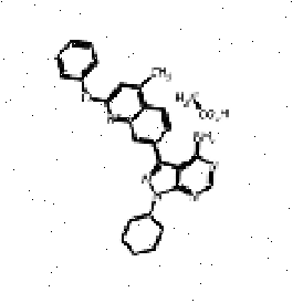 Cc1cc(Oc2ccccc2)nc2cc(-c3nn(C4CCCCC4)c4ncnc(N)c34)ccc12.NC(=O)O